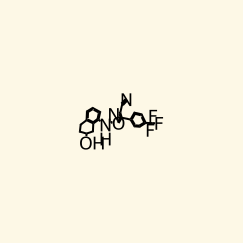 N#Cc1nc(Nc2cccc3c2CC(O)CC3)oc1-c1ccc(C(F)(F)F)cc1